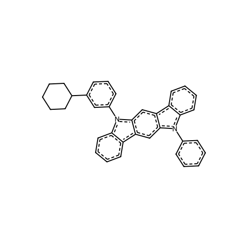 c1ccc(-n2c3ccccc3c3cc4c(cc32)c2ccccc2n4-c2cccc(C3CCCCC3)c2)cc1